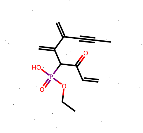 C=CC(=O)C(C(=C)C(=C)C#CC)P(=O)(O)OCC